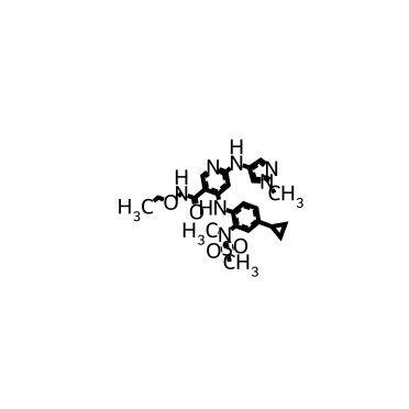 CCONC(=O)c1cnc(Nc2cnn(C)c2)cc1Nc1ccc(C2CC2)cc1N(C)S(C)(=O)=O